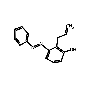 C=CCc1c(O)cccc1N=Nc1ccccc1